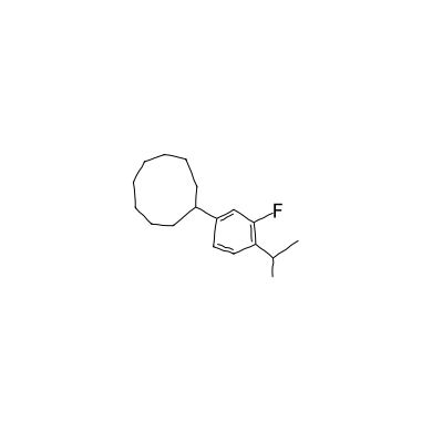 CC(C)c1ccc(C2CCCCCCCC2)cc1F